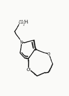 O=C(O)Cn1cc2c(c1)OCCCO2